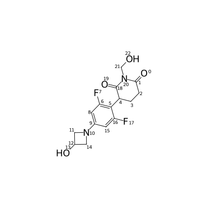 O=C1CCC(c2c(F)cc(N3CC(O)C3)cc2F)C(=O)N1CO